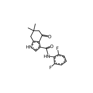 CC1(C)CC(=O)c2c(C(=O)Nc3c(F)cccc3F)c[nH]c2C1